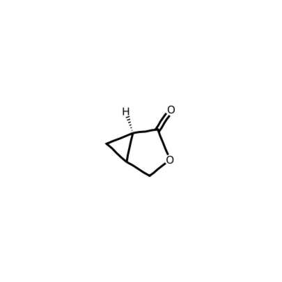 O=C1OCC2C[C@@H]12